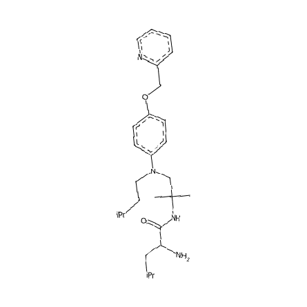 CC(C)CCN(CC(C)(C)NC(=O)C(N)CC(C)C)c1ccc(OCc2ccccn2)cc1